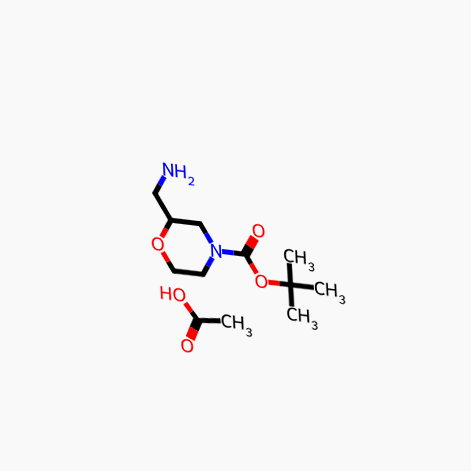 CC(=O)O.CC(C)(C)OC(=O)N1CCOC(CN)C1